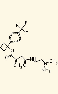 C=C(CC(=O)NCCN(C)C)C(=O)OC1(c2ccc(C(F)(F)F)cc2)CCC1